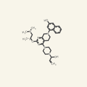 C=CC(O)N1CCN(c2nc(O[C@H](C)CN(C)C)nc3c2CCN(c2cc(O)cc4ccccc24)C3)CC1